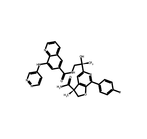 C[C@]1(C(N)=O)COc2c1cc([C@@](O)(CNC(=O)c1cc(Nc3ccnnc3)c3ncccc3c1)C(F)(F)F)nc2-c1ccc(F)cc1